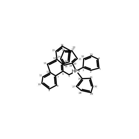 c1ccc([PH](Cc2c3ccccc3cc3ccccc23)(c2ccccc2)c2ccccc2)cc1